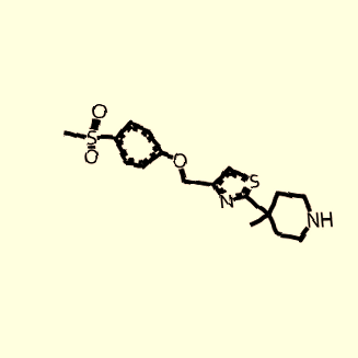 CC1(c2nc(COc3ccc(S(C)(=O)=O)cc3)cs2)CCNCC1